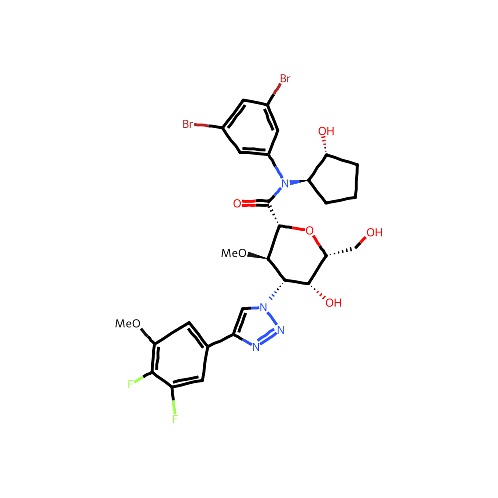 COc1cc(-c2cn([C@H]3[C@@H](O)[C@@H](CO)O[C@@H](C(=O)N(c4cc(Br)cc(Br)c4)[C@@H]4CCC[C@H]4O)[C@@H]3OC)nn2)cc(F)c1F